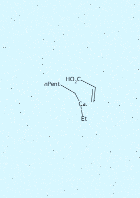 C=CC(=O)O.CCCCC[CH2][Ca][CH2]C